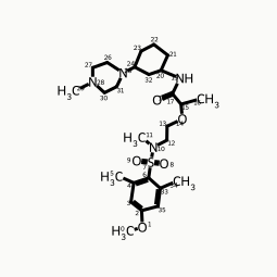 COc1cc(C)c(S(=O)(=O)N(C)CCOC(C)C(=O)NC2CCCC(N3CCN(C)CC3)C2)c(C)c1